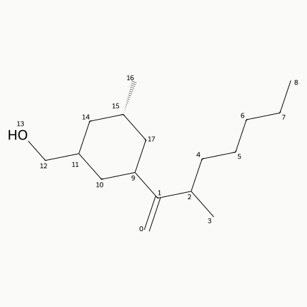 C=C(C(C)CCCCC)C1CC(CO)C[C@H](C)C1